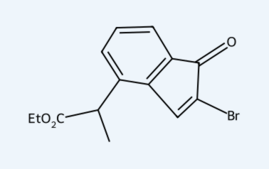 CCOC(=O)C(C)c1cccc2c1C=C(Br)C2=O